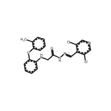 Cc1ccccc1Oc1ccccc1NCC(=O)N/N=C/c1c(Cl)cncc1Cl